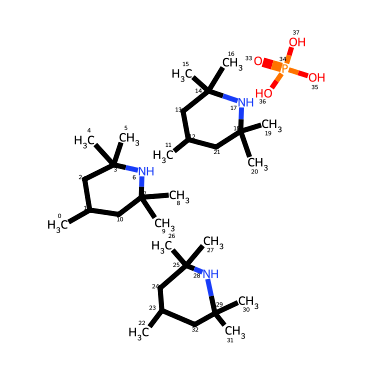 CC1CC(C)(C)NC(C)(C)C1.CC1CC(C)(C)NC(C)(C)C1.CC1CC(C)(C)NC(C)(C)C1.O=P(O)(O)O